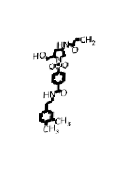 C=CC(=O)NC1CC(CO)N(S(=O)(=O)c2ccc(C(=O)NCCc3ccc(C)c(C)c3)cc2)C1